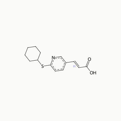 O=C(O)/C=C/c1ccc(SC2CCCCC2)nc1